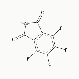 O=C1NC(=O)c2c(F)c(F)c(F)c(F)c21